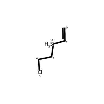 C=C[SiH2]CCCl